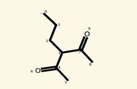 [CH2]CCC(C(C)=O)C(C)=O